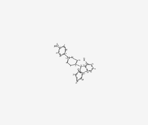 Oc1ccc(N2CCC(C3c4c(F)cccc4-c4cncn43)CC2)cc1